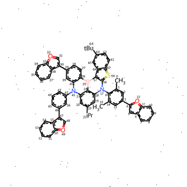 Cc1cc(-c2cc3ccccc3o2)cc(C)c1N1c2cc(C(C)C)cc3c2B(c2ccc(-c4coc5ccccc45)cc2N3c2cccc(-c3coc4ccccc34)c2)c2c1sc1ccc(C(C)(C)C)cc21